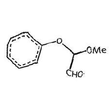 COC([C]=O)Oc1ccccc1